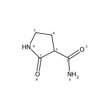 NC(=O)C1CCNC1=O